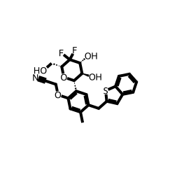 Cc1cc(OCC#N)c([C@@H]2O[C@H](CO)C(F)(F)[C@H](O)[C@H]2O)cc1Cc1cc2ccccc2s1